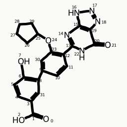 O=C(O)c1ccc(O)c(-c2ccc(-c3nc4[nH]nnc4c(=O)[nH]3)c(OC3CCCC3)c2)c1